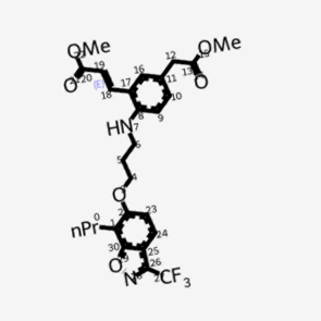 CCCc1c(OCCCNc2ccc(CC(=O)OC)cc2/C=C/C(=O)OC)ccc2c(C(F)(F)F)noc12